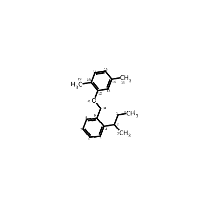 CC[C](C)c1ccccc1COc1cc(C)ccc1C